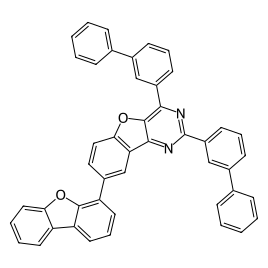 c1ccc(-c2cccc(-c3nc(-c4cccc(-c5ccccc5)c4)c4oc5ccc(-c6cccc7c6oc6ccccc67)cc5c4n3)c2)cc1